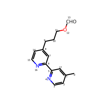 Cc1ccnc(-c2cc(CCCOC=O)ccn2)c1